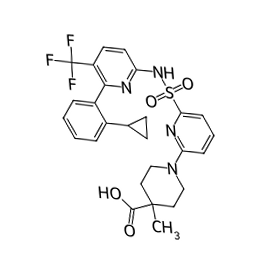 CC1(C(=O)O)CCN(c2cccc(S(=O)(=O)Nc3ccc(C(F)(F)F)c(-c4ccccc4C4CC4)n3)n2)CC1